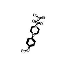 CCOc1ccc(N2CCN(S(=O)(=O)N(CC)CC)CC2)cc1